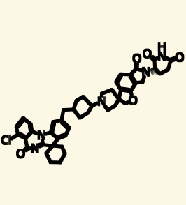 O=C1CC[C@H](N2Cc3c(ccc4c3OCC43CCN(C4CCC(Cc5ccc6c(c5)-n5c(nc(=O)c7c(Cl)cccc75)C65CCCCC5)CC4)CC3)C2=O)C(=O)N1